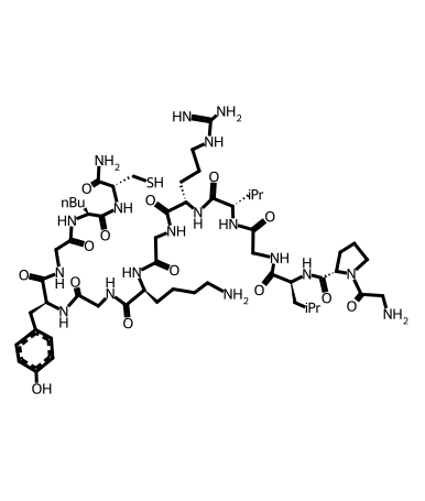 CCCC[C@H](NC(=O)CNC(=O)[C@H](Cc1ccc(O)cc1)NC(=O)CNC(=O)[C@H](CCCCN)NC(=O)CNC(=O)[C@H](CCCNC(=N)N)NC(=O)[C@@H](NC(=O)CNC(=O)[C@H](CC(C)C)NC(=O)[C@@H]1CCCN1C(=O)CN)C(C)C)C(=O)N[C@@H](CS)C(N)=O